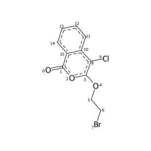 O=c1oc(OCCBr)c(Cl)c2ccccc12